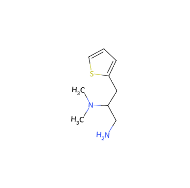 CN(C)C(CN)Cc1cccs1